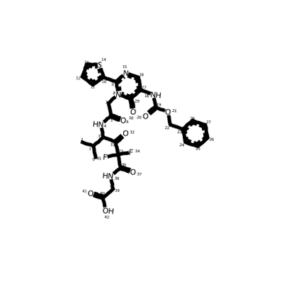 CC(C)C(NC(=O)Cn1c(-c2cccs2)ncc(NC(=O)OCc2ccccc2)c1=O)C(=O)C(F)(F)C(=O)NCC(=O)O